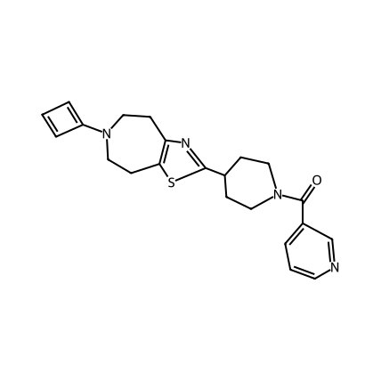 O=C(c1cccnc1)N1CCC(c2nc3c(s2)CCN(C2=CC=C2)CC3)CC1